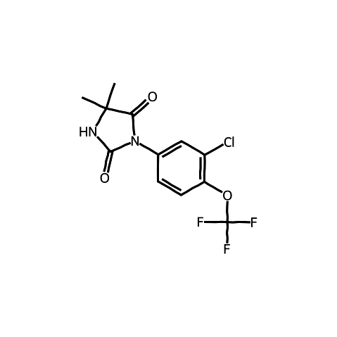 CC1(C)NC(=O)N(c2ccc(OC(F)(F)F)c(Cl)c2)C1=O